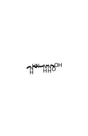 CCNCCNCCNCNCC(=O)O